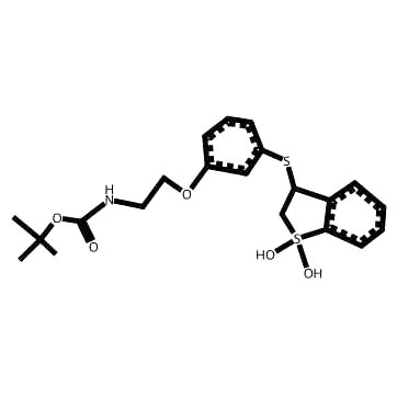 CC(C)(C)OC(=O)NCCOc1cccc(SC2CS(O)(O)c3ccccc32)c1